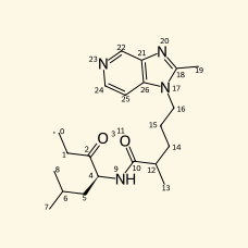 [CH2]CC(=O)[C@H](CC(C)C)NC(=O)C(C)CCCn1c(C)nc2cnccc21